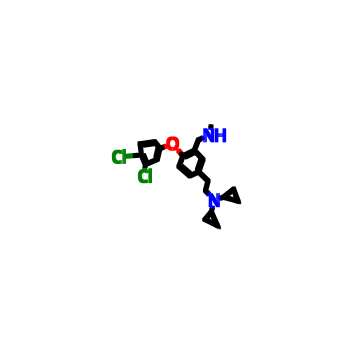 CNCc1cc(CCN(C2CC2)C2CC2)ccc1Oc1ccc(Cl)c(Cl)c1